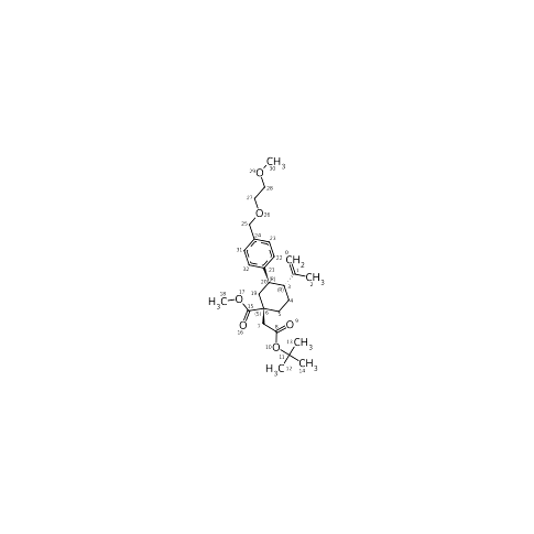 C=C(C)[C@@H]1CC[C@](CC(=O)OC(C)(C)C)(C(=O)OC)C[C@H]1c1ccc(COCCOC)cc1